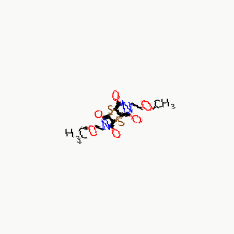 CCOCCn1c(=O)c2sc3c(=O)n(CCOCC)c(=O)c3sc2c1=O